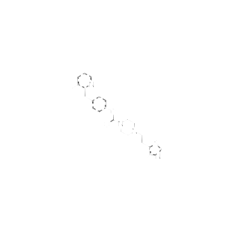 Cc1cccnc1Cc1ccc(OC(=O)N2CCN(CCc3scnc3C)CC2)cc1